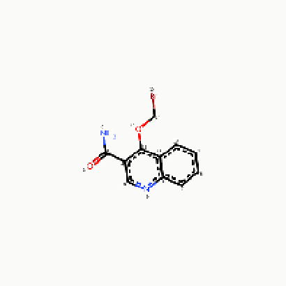 NC(=O)c1cnc2ccccc2c1OCBr